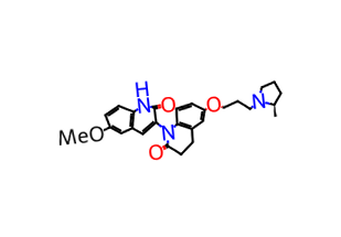 COc1ccc2[nH]c(=O)c(N3C(=O)CCc4cc(OCCCN5CCC[C@H]5C)ccc43)cc2c1